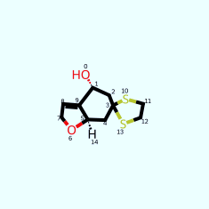 O[C@@H]1CC2(C[C@H]3OCC=C13)SCCS2